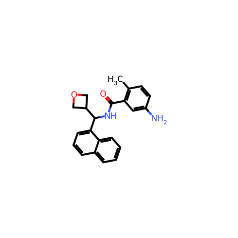 Cc1ccc(N)cc1C(=O)NC(c1cccc2ccccc12)C1COC1